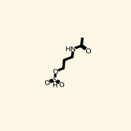 CC(=O)NCCCO[SH](=O)=O